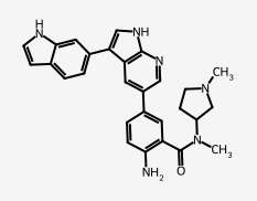 CN1CCC(N(C)C(=O)c2cc(-c3cnc4[nH]cc(-c5ccc6cc[nH]c6c5)c4c3)ccc2N)C1